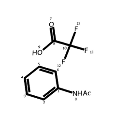 CC(=O)Nc1ccccc1.O=C(O)C(F)(F)F